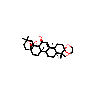 CC1(C)CC[C@@]23CC[C@@]4(C)[C@]5(C)CC[C@H]6C(C)(C)C7(CC[C@]6(C)C5=CC(=O)[C@]4(OC2=O)[C@@H]3C1)OCCO7